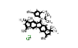 C[C](C)=[Zr+2]([C]1=CC(C(C)(C)C)=CC1C)[CH]1c2cc3c(cc2-c2cc4c(cc21)C(C)(C)C=C4C(C)(C)C)C(C(C)(C)C)=CC3(C)C.[Cl-].[Cl-]